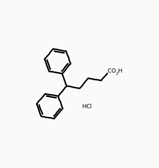 Cl.O=C(O)CCCC(c1ccccc1)c1ccccc1